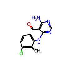 Cc1c(Cl)cccc1Nc1ncnc(N)c1C=O